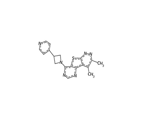 Cc1nnc2sc3c(N4CC(c5ccncc5)C4)ncnc3c2c1C